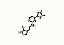 Cc1nc(-c2ccnc(NCCN3CCNC3=O)n2)sc1C